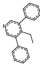 CCc1c(-c2ccccc2)cncc1-c1ccccc1